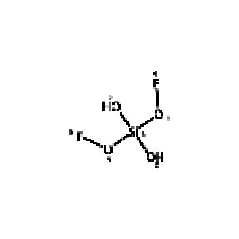 O[Si](O)(OF)OF